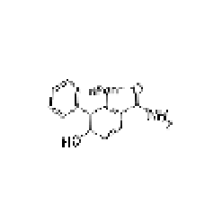 CCCCCc1c(C(N)=O)ccc(O)c1-c1ccccc1